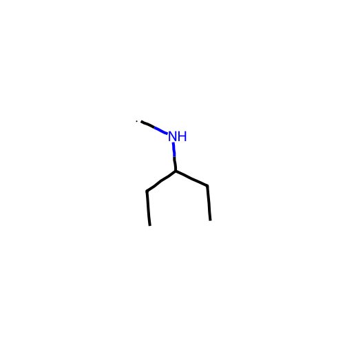 [CH2]NC(CC)CC